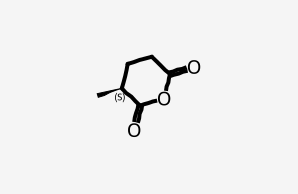 C[C@H]1CCC(=O)OC1=O